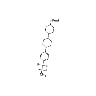 CCCCCC1CCC(C2CCC(c3ccc(C(F)(F)C(C)(F)F)cc3)CC2)CC1